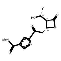 CNC(=O)c1csc(C(=O)C[C@H]2[N]C(=O)[C@@H]2[C@@H](C)O)c1